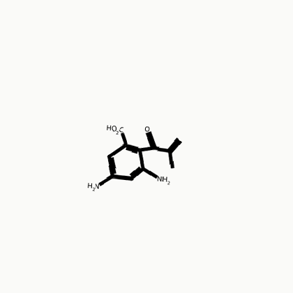 C=C(C)C(=O)c1c(N)cc(N)cc1C(=O)O